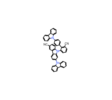 N#Cc1ccc2c(c1)c1ccc(-n3c4ccccc4c4ccccc43)cc1n2-c1cccc(C#N)c1-c1ccc(-n2c3ccccc3c3ccccc32)cc1